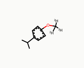 [2H]C([2H])([2H])Oc1ccc(C(C)C)cc1